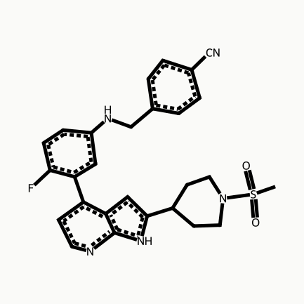 CS(=O)(=O)N1CCC(c2cc3c(-c4cc(NCc5ccc(C#N)cc5)ccc4F)ccnc3[nH]2)CC1